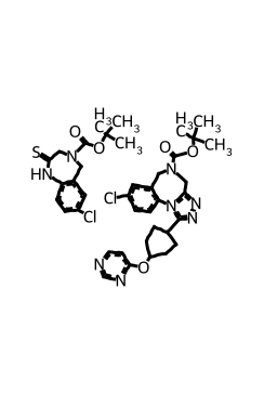 CC(C)(C)OC(=O)N1CC(=S)Nc2ccc(Cl)cc2C1.CC(C)(C)OC(=O)N1Cc2cc(Cl)ccc2-n2c(nnc2C2CCC(Oc3ccncn3)CC2)C1